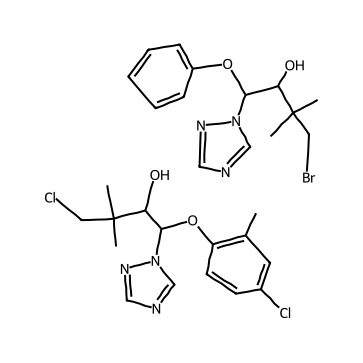 CC(C)(CBr)C(O)C(Oc1ccccc1)n1cncn1.Cc1cc(Cl)ccc1OC(C(O)C(C)(C)CCl)n1cncn1